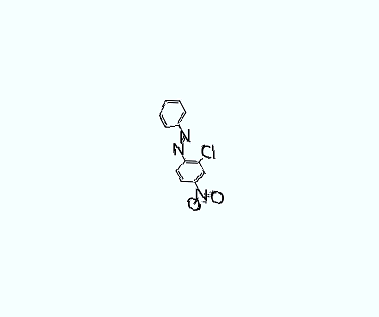 O=[N+]([O-])c1ccc(N=Nc2ccccc2)c(Cl)c1